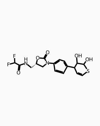 O=C(NC[C@H]1CN(c2ccc(C3C=CSC(O)C3O)cc2)C(=O)O1)C(F)F